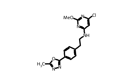 COc1nc(Cl)cc(NCCc2ccc(-c3nnc(C)o3)cc2)n1